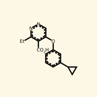 CCc1nncc(Oc2cccc(C3CC3)c2)c1C(=O)O